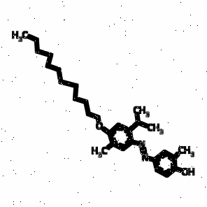 CCCCCCCCCCCCOc1cc(C(C)C)c(/N=N/c2ccc(O)c(C)c2)cc1C